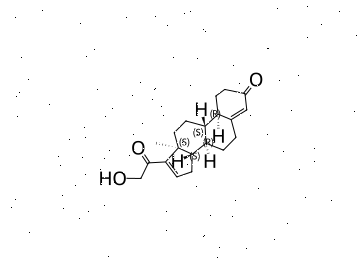 C[C@]12CC[C@H]3[C@@H](CCC4=CC(=O)CC[C@@H]43)[C@@H]1CC=C2C(=O)CO